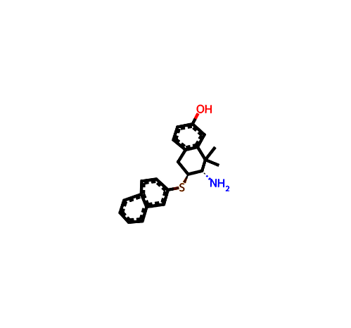 CC1(C)c2cc(O)ccc2C[C@H](Sc2ccc3ccccc3c2)[C@H]1N